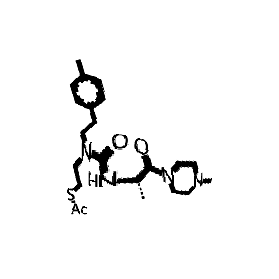 CC(=O)SCCN(CCc1ccc(C)cc1)C(=O)N[C@@H](C)C(=O)N1CCN(C)CC1